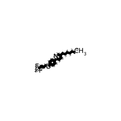 CCCCCCCc1ccc(-c2ccc(OCC=CC(F)(F)F)cc2)nc1